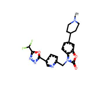 CC(C)N1CCC(c2ccc3c(c2)oc(=O)n3Cc2ccc(-c3nnc(C(F)F)o3)cn2)CC1